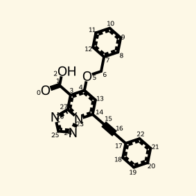 O=C(O)c1c(OCc2ccccc2)cc(C#Cc2ccccc2)n2ncnc12